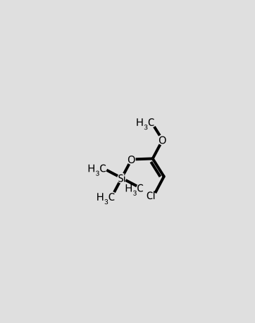 COC(=CCl)O[Si](C)(C)C